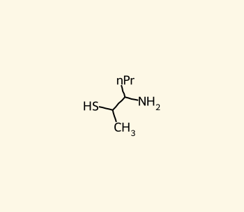 CCCC(N)C(C)S